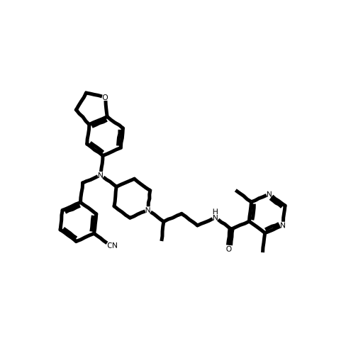 Cc1ncnc(C)c1C(=O)NCCC(C)N1CCC(N(Cc2cccc(C#N)c2)c2ccc3c(c2)CCO3)CC1